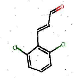 O=CC=Cc1c(Cl)cccc1Cl